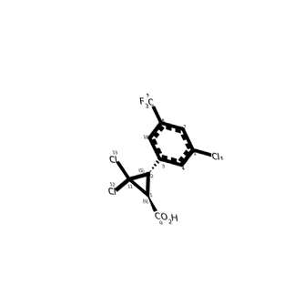 O=C(O)[C@@H]1[C@@H](c2cc(Cl)cc(C(F)(F)F)c2)C1(Cl)Cl